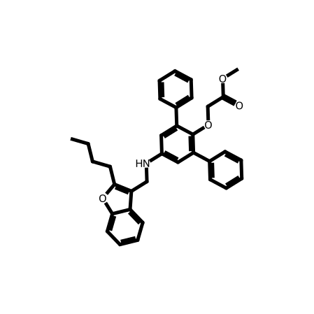 CCCCc1oc2ccccc2c1CNc1cc(-c2ccccc2)c(OCC(=O)OC)c(-c2ccccc2)c1